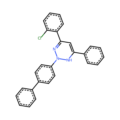 Clc1ccccc1C1=NN(c2ccc(-c3ccccc3)cc2)NC(c2ccccc2)=C1